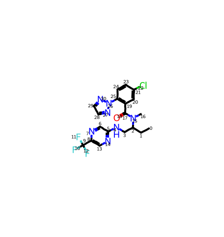 CCC(CNc1cnc(C(F)(F)F)cn1)N(C)C(=O)c1cc(Cl)ccc1-n1nccn1